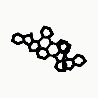 c1cc(-c2cccc3ccccc23)cc(N(c2ccccc2-c2cccc3c2sc2ccccc23)c2ccccc2-n2c3ccccc3c3ccccc32)c1